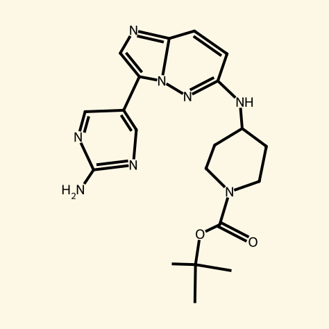 CC(C)(C)OC(=O)N1CCC(Nc2ccc3ncc(-c4cnc(N)nc4)n3n2)CC1